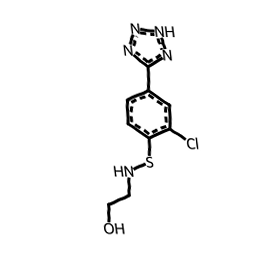 OCCNSc1ccc(-c2nn[nH]n2)cc1Cl